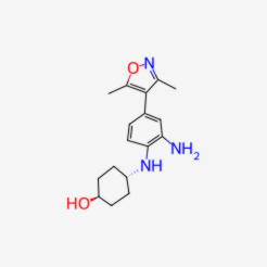 Cc1noc(C)c1-c1ccc(N[C@H]2CC[C@H](O)CC2)c(N)c1